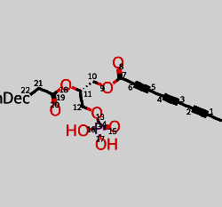 CC#CC#CC#CC(=O)OC[C@H](COP(=O)(O)O)OC(=O)CCCCCCCCCCC